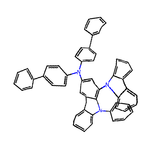 c1ccc(-c2ccc(N(c3ccc(-c4ccccc4)cc3)c3cc(-n4c5ccccc5c5ccccc54)c4c(c3)c3ccccc3n4-c3ccccc3)cc2)cc1